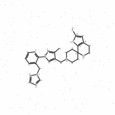 Cc1nn(-c2ncccc2Cn2cncn2)cc1CN1CCC2(CC1)OCCc1cc(F)sc12